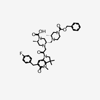 C[C@@H]1CN(C(=O)OCc2ccccc2)CCN1C[C@H]1CN(C(=O)O)[C@H](C)CN1CC(=O)N1CC(C)(C)c2c1cc(Cc1ccc(F)cc1)c(=O)n2C